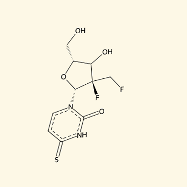 O=c1[nH]c(=S)ccn1[C@@H]1O[C@H](CO)C(O)[C@]1(F)CF